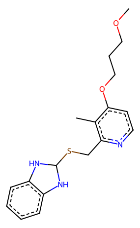 COCCCOc1ccnc(CSC2Nc3ccccc3N2)c1C